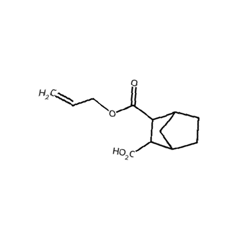 C=CCOC(=O)C1C2CCC(C2)C1C(=O)O